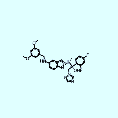 COc1cc(CNc2ccc3nn([C@H](C)[C@](O)(Cn4cncn4)c4ccc(F)cc4F)cc3c2)cc(OC)c1